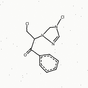 O=C(c1ccccc1)C(CCl)N1CN(Cl)C=N1